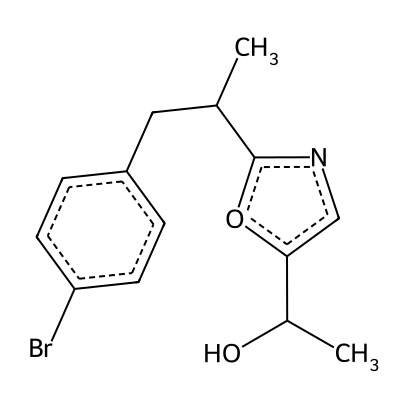 CC(O)c1cnc(C(C)Cc2ccc(Br)cc2)o1